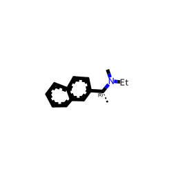 CCN(C)[C@H](C)c1ccc2ccccc2c1